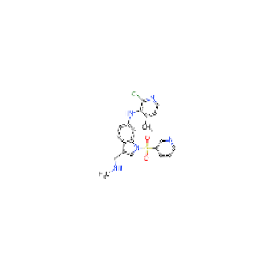 CNCc1cn(S(=O)(=O)c2cccnc2)c2cc(Nc3c(C)ccnc3Cl)ccc12